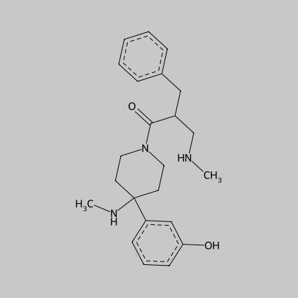 CNCC(Cc1ccccc1)C(=O)N1CCC(NC)(c2cccc(O)c2)CC1